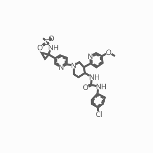 COc1ccc(C2CN(c3ccc(C4(NS(C)(=O)=O)CC4)cn3)CCC2NC(=O)Nc2ccc(Cl)cc2)nc1